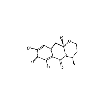 CCc1cn2c(c(Cl)c1=O)C(=O)N1[C@H](C)CCO[C@H]1C2